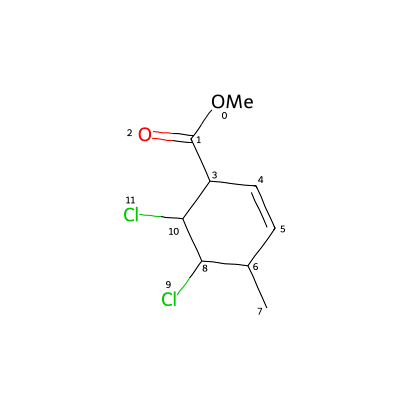 COC(=O)C1C=CC(C)C(Cl)C1Cl